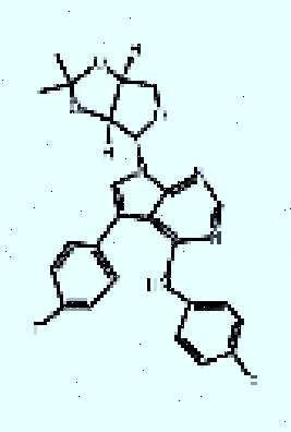 CC1(C)O[C@H]2[C@H](n3cc(-c4ccc(F)cc4)c4c(Nc5ccc(F)cc5)ncnc43)OC[C@H]2O1